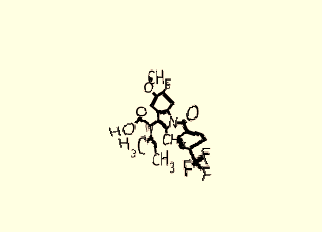 CCC(C)[C@@H](C(=O)O)c1c(C)n(C(=O)c2ccc(C(F)(F)F)cc2)c2cc(F)c(OC)cc12